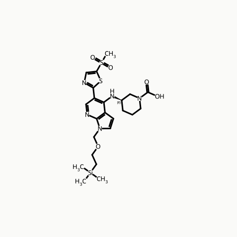 C[Si](C)(C)CCOCn1ccc2c(N[C@@H]3CCCN(C(=O)O)C3)c(-c3ncc(S(C)(=O)=O)s3)cnc21